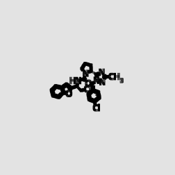 CC[C@H](NC(=O)N1CCC[C@@H]1c1nc(C)nn1Cc1ccc(Cl)cc1)c1cc2ccccc2o1